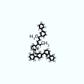 C=C/C(=C\C=C(/C)c1cccc(-c2ccccc2)c1)c1ccnc(-n2c3ccccc3c3ccc(-c4cccc5c4sc4ccccc45)cc32)n1